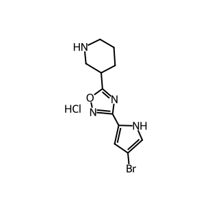 Brc1c[nH]c(-c2noc(C3CCCNC3)n2)c1.Cl